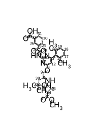 COC(=O)C1CC(NC(COc2cc(-c3c(C)cccc3C)nc(NS(=O)(=O)c3cccc(C(=O)O)c3)n2)CC(C)(C)C)C1